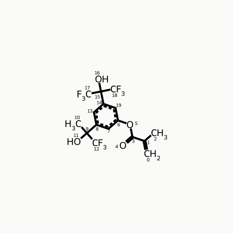 C=C(C)C(=O)Oc1cc(C(C)(O)C(F)(F)F)cc(C(O)(C(F)(F)F)C(F)(F)F)c1